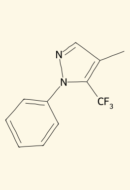 Cc1cnn(-c2ccccc2)c1C(F)(F)F